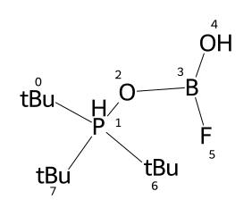 CC(C)(C)[PH](OB(O)F)(C(C)(C)C)C(C)(C)C